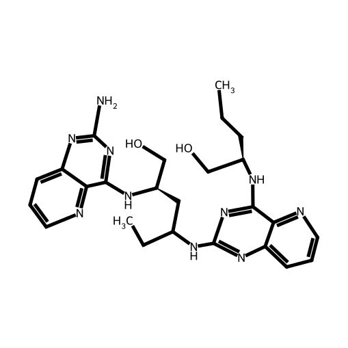 CCC[C@H](CO)Nc1nc(NC(CC)C[C@H](CO)Nc2nc(N)nc3cccnc23)nc2cccnc12